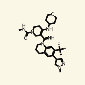 CNC(=O)N1CCC(NC2CCOCC2)=C(C(=N)N2CCCc3cc(C4C=NN(C)C4)c(C(F)(F)F)cc32)C1